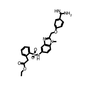 CCOC(=O)Cc1ccccc1S(=O)(=O)Nc1ccc2c(c1)nc(COc1ccc(C(=N)N)cc1)n2C